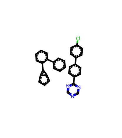 Clc1ccc(-c2ccc(-c3ncncn3)cc2)cc1.c1ccc(-c2ccccc2-c2c3cccc2-3)cc1